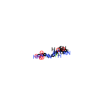 CC1(C)[C@H](NC(=O)c2cnc(N3CCC(CN4CCN(c5ccc6c(c5)C(=O)N(C5CCC(=O)NC5=O)C6=O)CC4)CC3)c(F)c2)C2(C)c3ccnc4c(C#N)ccc(c34)O[C@@H]12